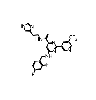 C=C(NCCc1c[nH]cn1)c1cc(NCc2ccc(F)cc2F)nc(-c2cncc(C(F)(F)F)c2)n1